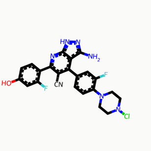 N#Cc1c(-c2ccc(O)cc2F)nc2[nH]nc(N)c2c1-c1ccc(N2CCN(Cl)CC2)c(F)c1